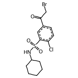 O=C(CBr)c1ccc(Cl)c(S(=O)(=O)NC2CCCCC2)c1